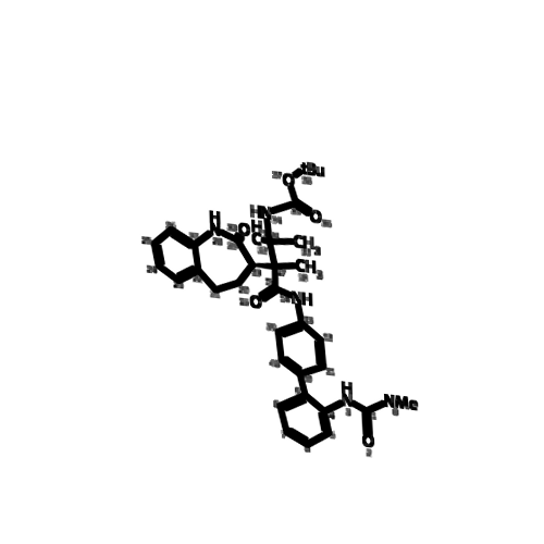 CNC(=O)Nc1ccccc1-c1ccc(NC(=O)C(C)([C@H]2CCc3ccccc3NC2=O)C(C)(C)NC(=O)OC(C)(C)C)cc1